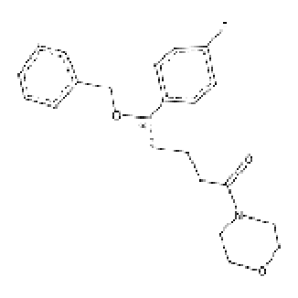 O=C(CCC[C@H](OCc1ccccc1)c1ccc(F)cc1)N1CCOCC1